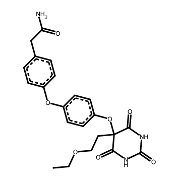 CCOCCC1(Oc2ccc(Oc3ccc(CC(N)=O)cc3)cc2)C(=O)NC(=O)NC1=O